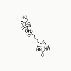 CC12OC(CO)(O[C@](C)(COC(=O)CCCCC3SC[C@@H]4NC(=O)N[C@H]34)C1(C)O)[C@@]2(C)O